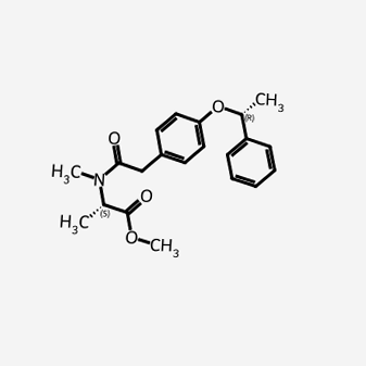 COC(=O)[C@H](C)N(C)C(=O)Cc1ccc(O[C@H](C)c2ccccc2)cc1